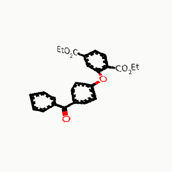 CCOC(=O)c1ccc(C(=O)OCC)c(Oc2ccc(C(=O)c3ccccc3)cc2)c1